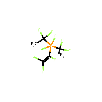 FC(F)=C(F)P(F)(F)(C(F)(F)C(F)(F)F)C(F)(F)C(F)(F)F